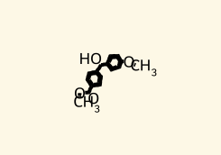 COC(=O)c1ccc(C(O)c2ccc(OC)cc2)cc1